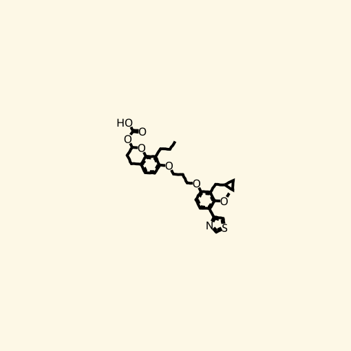 CCCc1c(OCCCOc2ccc(-c3cscn3)c(OC)c2CC2CC2)ccc2c1OC(OC(=O)O)CC2